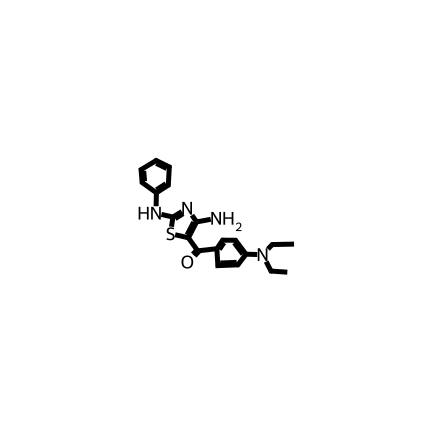 CCN(CC)c1ccc(C(=O)c2sc(Nc3ccccc3)nc2N)cc1